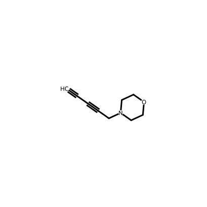 C#CC#CCN1CCOCC1